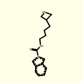 O=C(NCCCCC1CNC1)n1cc2ccccc2c1